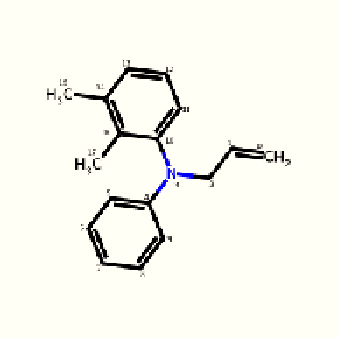 C=CCN(c1ccccc1)c1cccc(C)c1C